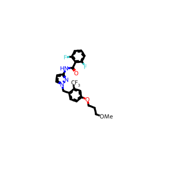 COCCCOc1ccc(Cn2ccc(NC(=O)c3c(F)cccc3F)n2)c(C(F)(F)F)c1